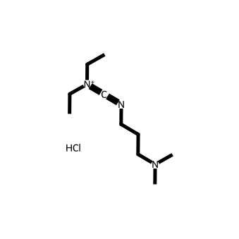 CC[N+](=C=NCCCN(C)C)CC.Cl